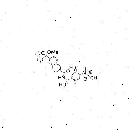 COC(C)(c1ccc2cc(C(=O)N[C@H](C)c3cc(C)c(NS(C)(=O)=O)cc3F)ccc2c1)C(F)(F)F